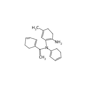 C=C(C1=CC=CCC1)N(C1=CC=CCC1)C1=C(N)CCC(C)=C1